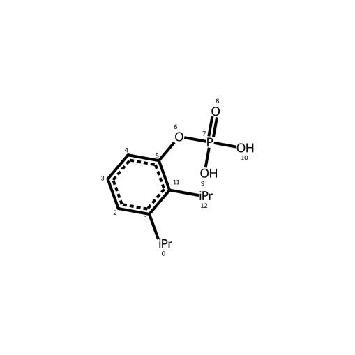 CC(C)c1cccc(OP(=O)(O)O)c1C(C)C